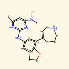 Cc1cc(N(C)C)nc(Nc2cc3c(c(C4=CCNCCC4)c2)OCC3)n1